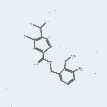 NCc1c(N)cccc1CNC(=O)c1ccc(C(F)F)c(Cl)c1